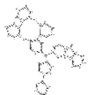 c1ccc(-c2ccc(N(c3ccc4c(c3)-c3ccccc3Cc3ccccc3-c3ccccc3C4)c3ccc4oc5ccccc5c4c3)cc2)cc1